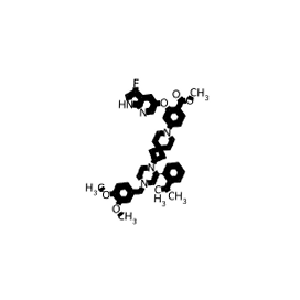 COC(=O)c1ccc(N2CCC3(CC2)CC(N2CCN(Cc4ccc(OC)c(OC)c4)C[C@H]2c2ccccc2C(C)C)C3)cc1Oc1cnc2[nH]cc(F)c2c1